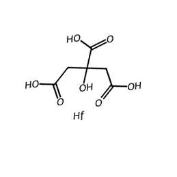 O=C(O)CC(O)(CC(=O)O)C(=O)O.[Hf]